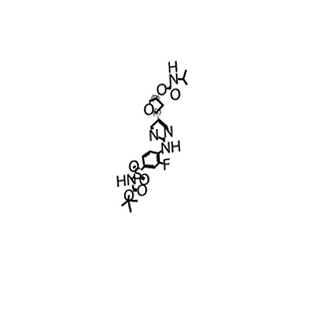 CC(C)NC(=O)O[C@H]1CO[C@@H](c2cnc(Nc3ccc(S(=O)(=O)NC(=O)OC(C)(C)C)cc3F)nc2)C1